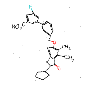 Cc1c(OCc2cccc(-c3cc(F)cc(C(=O)O)c3)c2)cc2c(c1C)C(=O)C(C1CCCC1)C2